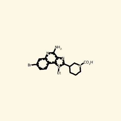 CCn1c(C2CCCN(C(=O)O)C2)nc2c(N)nc3cc(Br)ccc3c21